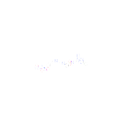 O=C1CCN(c2noc3cc(C4CCN(CC5CCN(c6cccc(S(=O)(=O)N7CCC(Nc8ncc(Cl)cn8)CC7)c6)CC5)CC4)ccc23)C(=O)N1